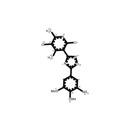 COc1cc(-c2nc(-c3c(Cl)nc(C)c(Cl)c3C)no2)cc([N+](=O)[O-])c1OC